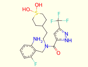 Nc1cccc(F)c1CN(CCC1CCS(O)(O)CC1)C(=O)c1cc(C(F)(F)F)n[nH]1